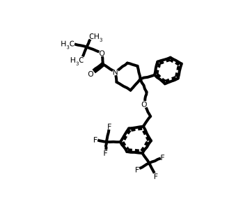 CC(C)(C)OC(=O)N1CCC(COCc2cc(C(F)(F)F)cc(C(F)(F)F)c2)(c2ccccc2)CC1